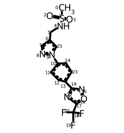 CS(=O)(=O)NCc1cnn(-c2ccc(-c3noc(C(F)(F)F)n3)cc2)c1